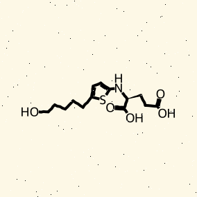 O=C(O)CC[C@H](Nc1ccc(CCCCCO)s1)C(=O)O